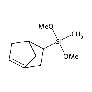 CO[Si](C)(OC)C1CC2=CCC1C2